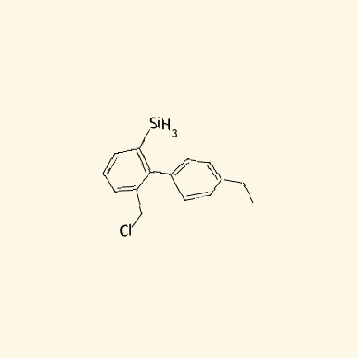 CCc1ccc(-c2c([SiH3])cccc2CCl)cc1